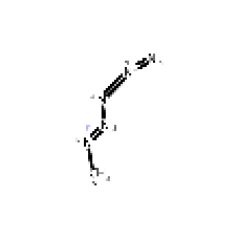 C/N=N/N=[N+]=[N-]